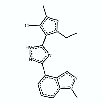 CCn1nc(C)c(Cl)c1-c1nc(-c2cccc3c2cnn3C)n[nH]1